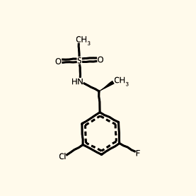 C[C@H](NS(C)(=O)=O)c1cc(F)cc(Cl)c1